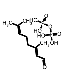 CC(C)=CCC/C(C)=C/C=O.O=P(O)(O)OP(=O)(O)O